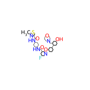 Cc1nc(C(=O)NC2CCC(NC(=O)c3cc(F)cnc3Oc3cccc(-c4ccc(O)cc4CN4CCCOCC4)c3)CC2)cs1